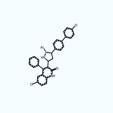 CC(=O)N1NC(c2c(-c3ccccc3)c3cc(Cl)ccc3[nH]c2=O)CC1c1ccc(-c2ccc(Cl)cc2)cc1